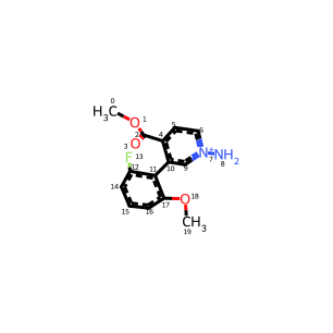 COC(=O)c1cc[n+](N)cc1-c1c(F)cccc1OC